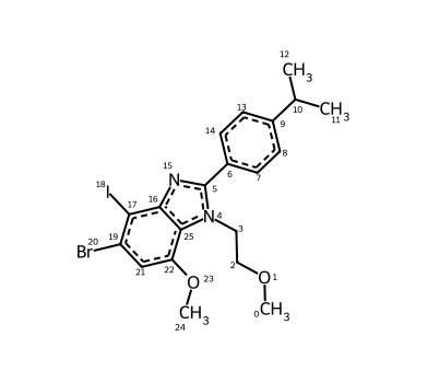 COCCn1c(-c2ccc(C(C)C)cc2)nc2c(I)c(Br)cc(OC)c21